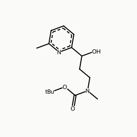 Cc1cccc(C(O)CCN(C)C(=O)OC(C)(C)C)n1